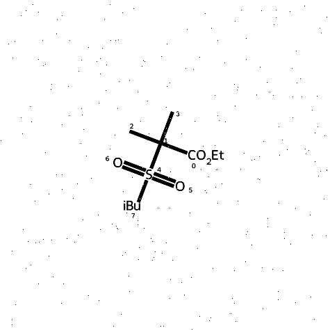 CCOC(=O)C(C)(C)S(=O)(=O)C(C)CC